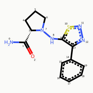 NC(=O)[C@@H]1CCCN1Nc1snnc1-c1ccccc1